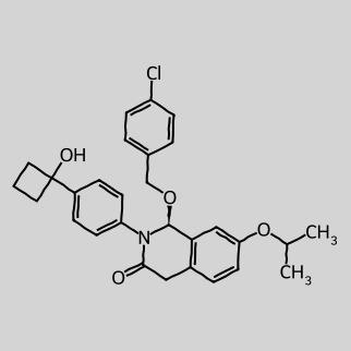 CC(C)Oc1ccc2c(c1)[C@H](OCc1ccc(Cl)cc1)N(c1ccc(C3(O)CCC3)cc1)C(=O)C2